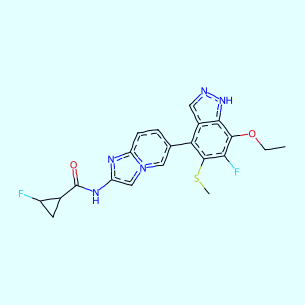 CCOc1c(F)c(SC)c(-c2ccc3nc(NC(=O)C4CC4F)cn3c2)c2cn[nH]c12